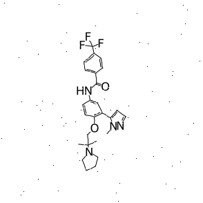 Cn1nccc1-c1cc(NC(=O)c2ccc(C(F)(F)F)cc2)ccc1OCC(C)(C)N1CCCC1